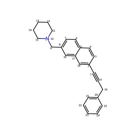 C(#Cc1ccc2ccc(CN3CCCCC3)cc2c1)Cc1ccccc1